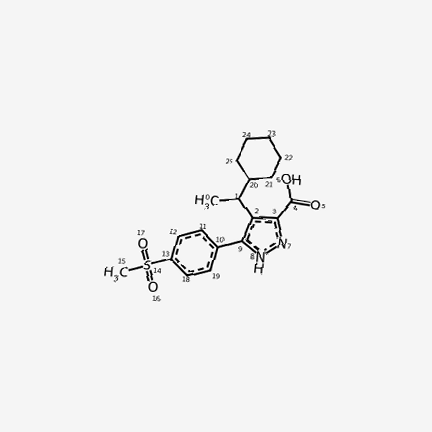 CC(c1c(C(=O)O)n[nH]c1-c1ccc(S(C)(=O)=O)cc1)C1CCCCC1